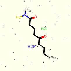 CSCC[C@H](N)C(=O)CCCC(=O)N(C)S.Cl